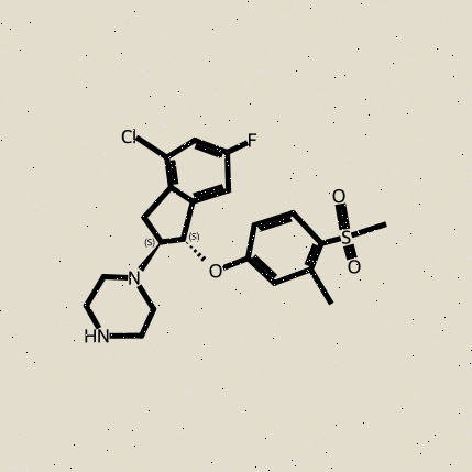 Cc1cc(O[C@H]2c3cc(F)cc(Cl)c3C[C@@H]2N2CCNCC2)ccc1S(C)(=O)=O